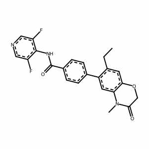 CCc1cc2c(cc1-c1ccc(C(=O)Nc3c(F)cncc3F)cc1)N(C)C(=O)CO2